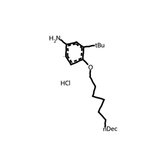 CCCCCCCCCCCCCCCCOc1c[c]c(N)cc1C(C)(C)C.Cl